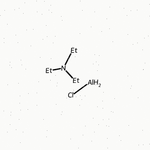 CCN(CC)CC.[AlH2][Cl]